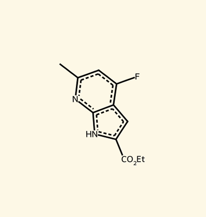 CCOC(=O)c1cc2c(F)cc(C)nc2[nH]1